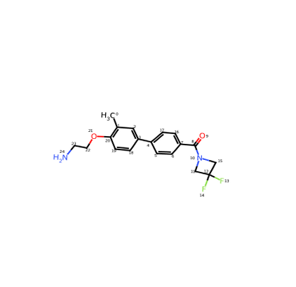 Cc1cc(-c2ccc(C(=O)N3CC(F)(F)C3)cc2)ccc1OCCN